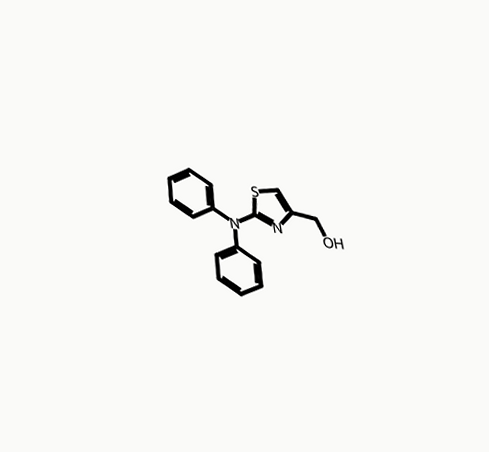 OCc1csc(N(c2ccccc2)c2ccccc2)n1